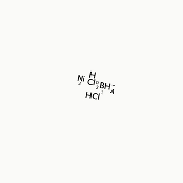 Cl.Cl.[BH4-].[Ni]